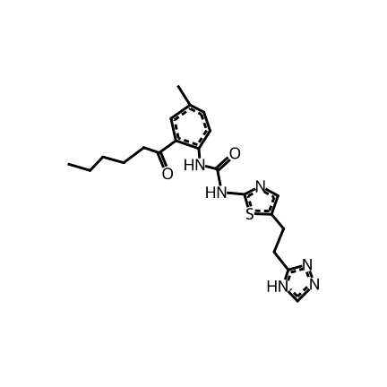 CCCCCC(=O)c1cc(C)ccc1NC(=O)Nc1ncc(CCc2nnc[nH]2)s1